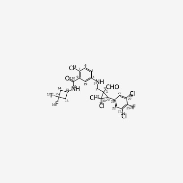 O=CC1(CNc2ccc(Cl)c(C(=O)NC3CC(F)(F)C3)c2)C(c2cc(Cl)c(F)c(Cl)c2)C1(Cl)Cl